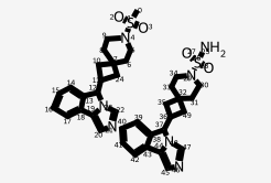 CS(=O)(=O)N1CCC2(CC1)CC(C1c3ccccc3-c3cncn31)C2.NS(=O)(=O)N1CCC2(CC1)CC(C1c3ccccc3-c3cncn31)C2